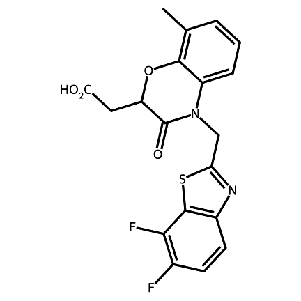 Cc1cccc2c1OC(CC(=O)O)C(=O)N2Cc1nc2ccc(F)c(F)c2s1